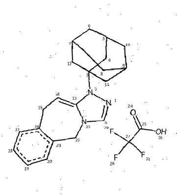 C1=NN(C23CC4CC(CC(C4)C2)C3)C2=CCc3ccccc3CN12.O=C(O)C(F)(F)F